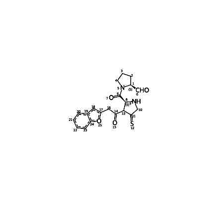 O=C[C@@H]1CCCN1C(=O)[C@H]1NCC(=S)C1C(=O)Cc1cc2ccccc2o1